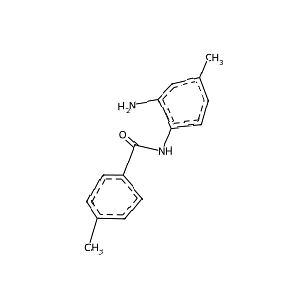 Cc1ccc(C(=O)Nc2ccc(C)cc2N)cc1